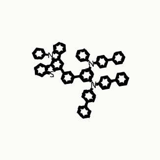 c1ccc(-c2ccc(N(c3ccccc3)c3cc(-c4cccc(-c5cc6c7ccccc7n(-c7ccccc7)c6c6c5sc5ccccc56)c4)cc(N(c4ccc(-c5ccccc5)cc4)c4ccc(-c5ccccc5)cc4)c3)cc2)cc1